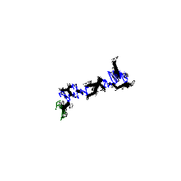 Cc1cc(N2CC3(CCN(c4ncc5cnn(CC(F)F)c5n4)C3)C2)nc(C)n1